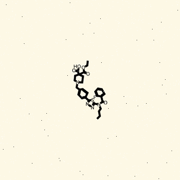 CCCCN(C(=O)c1ccccc1F)c1nnc(-c2ccc(CN3CCC(C(=O)O)(C(=O)OCC)CC3)cc2)s1